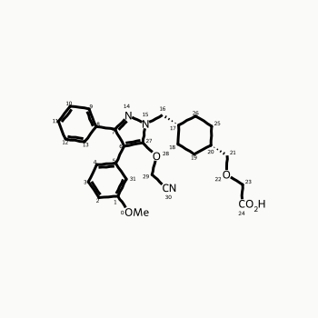 COc1cccc(-c2c(-c3ccccc3)nn(C[C@H]3CC[C@@H](COCC(=O)O)CC3)c2OCC#N)c1